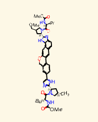 CC[C@H](C)C(NC(=O)OC)C(=O)N1C[C@@H](C)C[C@H]1c1ncc(-c2ccc3c(c2)COc2cc4c(ccc5nc([C@@H]6CC(COC)CN6C(=O)[C@@H](NC(=O)OC)C(C)C)[nH]c54)cc2-3)[nH]1